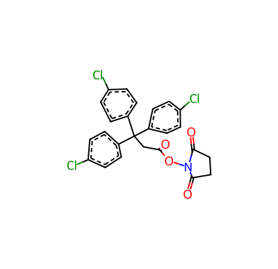 O=C(CC(c1ccc(Cl)cc1)(c1ccc(Cl)cc1)c1ccc(Cl)cc1)ON1C(=O)CCC1=O